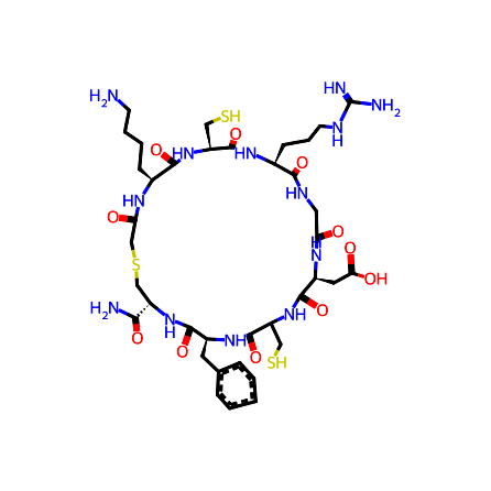 N=C(N)NCCC[C@@H]1NC(=O)[C@H](CS)NC(=O)[C@H](CCCCN)NC(=O)CSC[C@@H](C(N)=O)NC(=O)[C@H](Cc2ccccc2)NC(=O)C(CS)NC(=O)[C@H](CC(=O)O)NC(=O)CNC1=O